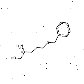 N[C@H](CO)CCCSCc1ccccc1